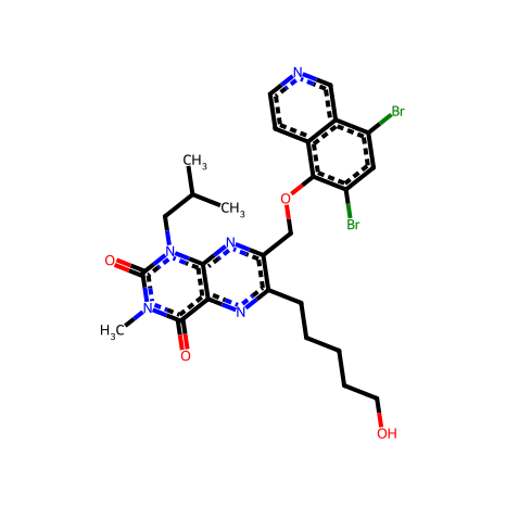 CC(C)Cn1c(=O)n(C)c(=O)c2nc(CCCCCO)c(COc3c(Br)cc(Br)c4cnccc34)nc21